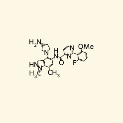 COc1cccc(F)c1-c1nccc(C(=O)Nc2cc(C)c3c(c2N2CC[C@@H](N)C2)CNN3C)n1